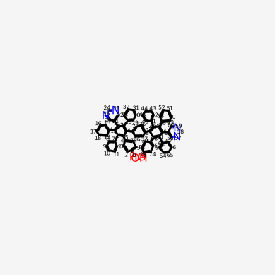 Oc1ccc(-c2c(-c3ccccc3)c(-c3ccccc3)c(-c3cncnc3)c(-c3ccccc3)c2-c2ccc(-c3c(-c4ccccc4)c(-c4ccccc4)c(-c4cncnc4)c(-c4ccccc4)c3-c3ccc(O)cc3)cc2)cc1